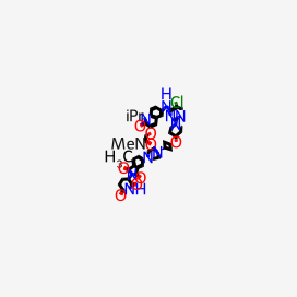 CNC(=O)COc1cc2cc(Nc3nc(N4CCC(O[C@H]5C[C@H](N6CCN(c7cc(C)c8c(c7)C(=O)N(C7CCC(=O)NC7=O)C8=O)CC6)C5)CC4)ncc3Cl)ccc2n(C(C)C)c1=O